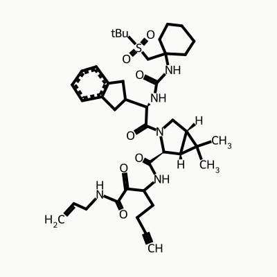 C#CCCC(NC(=O)[C@@H]1[C@@H]2[C@H](CN1C(=O)[C@@H](NC(=O)NC1(CS(=O)(=O)C(C)(C)C)CCCCC1)C1Cc3ccccc3C1)C2(C)C)C(=O)C(=O)NCC=C